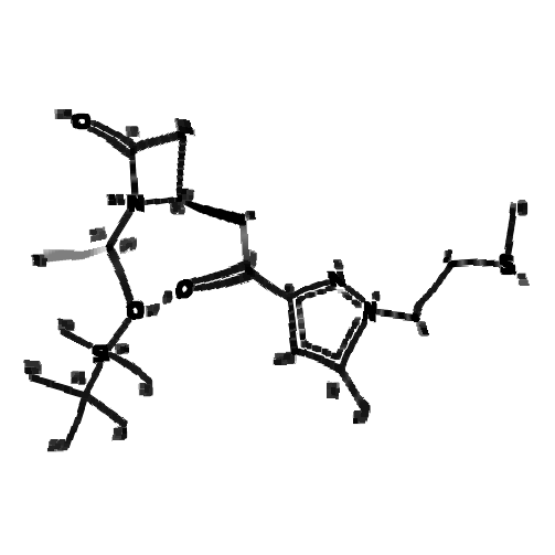 CSCCn1nc(C(=O)C[C@@H]2CC(=O)N2[C@@H](C)O[Si](C)(C)C(C)(C)C)cc1C